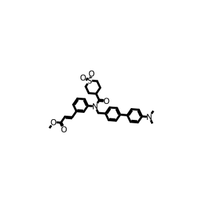 COC(=O)/C=C/c1cccc(N(Cc2ccc(-c3ccc(N(C)C)cc3)cc2)C(=O)C2CCS(=O)(=O)CC2)c1